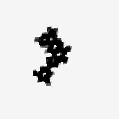 Cc1cc(-c2cc3n(C)c(=O)c4ccc(-c5c[nH]nc5C(F)(F)F)cc4n3n2)cc(C)n1